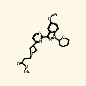 CC(C)Oc1ccc2c(c1)c(-c1nccc(C3CN(CCC(=O)OC(C)(C)C)C3)n1)nn2C1CCCCO1